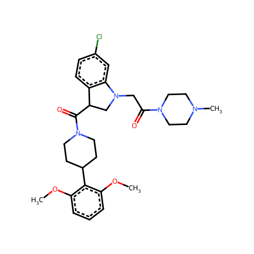 COc1cccc(OC)c1C1CCN(C(=O)C2CN(CC(=O)N3CCN(C)CC3)c3cc(Cl)ccc32)CC1